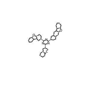 c1ccc2cc(-c3nc(-c4ccc5cc6oc7ccccc7c6cc5c4)nc(-c4ccc5oc6ccccc6c5c4)n3)ccc2c1